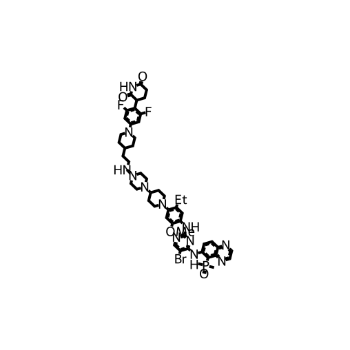 CCc1cc(Nc2ncc(Br)c(Nc3ccc4nccnc4c3P(C)(C)=O)n2)c(OC)cc1N1CCC(N2CCN(NCCC3CCN(c4cc(F)c(C5CCC(=O)NC5=O)c(F)c4)CC3)CC2)CC1